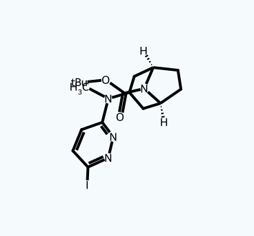 CN(c1ccc(I)nn1)C1C[C@H]2CC[C@@H](C1)N2C(=O)OC(C)(C)C